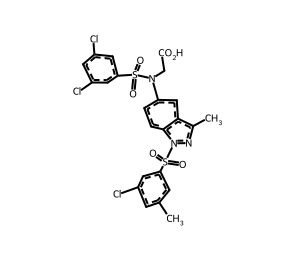 Cc1cc(Cl)cc(S(=O)(=O)n2nc(C)c3cc(N(CC(=O)O)S(=O)(=O)c4cc(Cl)cc(Cl)c4)ccc32)c1